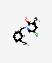 Cc1cccc(Cn2cc(Cl)cc(C)c2=O)c1